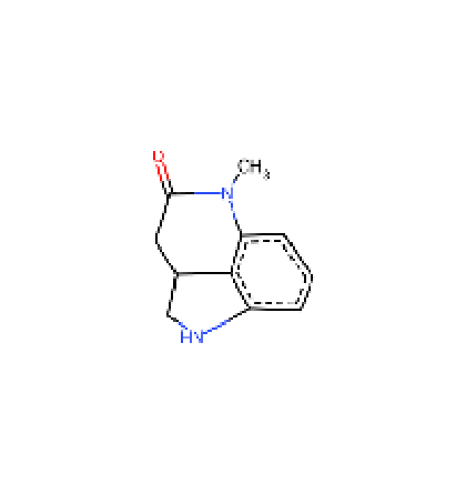 CN1C(=O)CC2CNc3cccc1c32